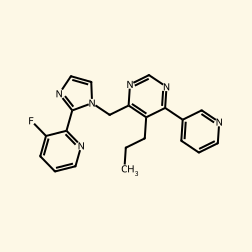 CCCc1c(Cn2ccnc2-c2ncccc2F)ncnc1-c1cccnc1